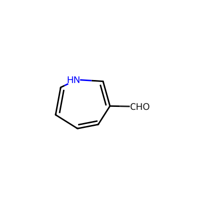 O=CC1=CNC=CC=C1